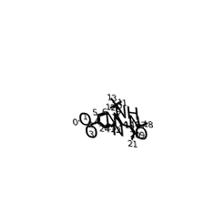 COC(=O)c1ccn2c(NC(C)(C)C)c(-c3nc(C)oc3C)nc2c1